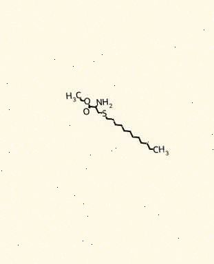 CCCCCCCCCCCCSCC(N)C(=O)OCC